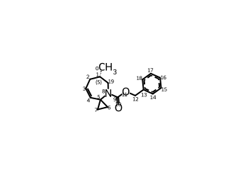 C[C@H]1CC=CC2(CC2)N(C(=O)OCc2ccccc2)C1